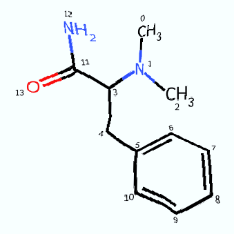 CN(C)C(Cc1ccccc1)C(N)=O